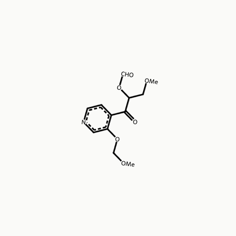 COCOc1cnccc1C(=O)C(COC)OC=O